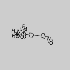 C[C@@](N)(C(F)F)[C@H](NC(=O)c1ccc(C#Cc2ccc(CN3CCOCC3)cc2)cc1)C(=O)NO